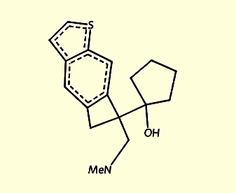 CNCC1(C2(O)CCCC2)Cc2cc3ccsc3cc21